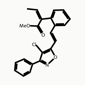 CC=C(C(=O)OC)c1ccccc1C=Cc1onc(-c2ccccc2)c1Cl